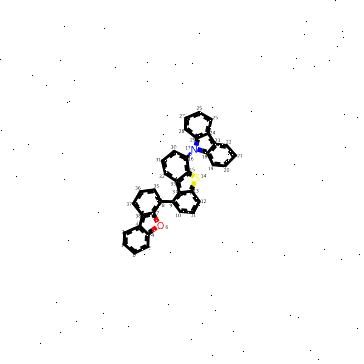 c1ccc2c(c1)oc1c(-c3cccc4sc5c(-n6c7ccccc7c7ccccc76)cccc5c34)cccc12